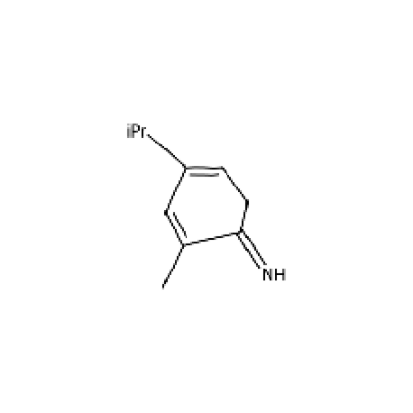 CC1=CC(C(C)C)=CCC1=N